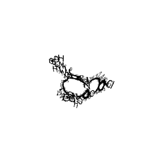 CCO[C@]1(CN2CCN[C@H](C[SH](=O)=O)C2)/C=C/C[C@H](C)[C@@H](C)S(=O)(=O)NC(=O)c2ccc3c(c2)N(CCCCc2cc(Cl)ccc2CO3)C[C@@H]2CC[C@H]21